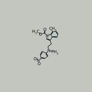 COC(=O)n1cc(CCN(P)c2ccc([N+](=O)[O-])cc2)c2cccc(C)c21